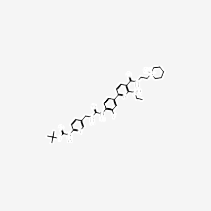 CCNc1nc(-c2ccc(NC(=O)NCc3ccc(NC(=O)OC(C)(C)C)nc3)c(F)c2)ccc1C(=O)NCC[N+]1([O-])CCCCC1